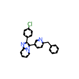 Clc1ccc(-c2nc3ccccn3c2-c2ccc(Cc3ccccc3)nc2)cc1